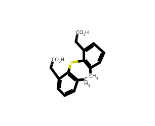 Cc1cccc(CC(=O)O)c1Sc1c(C)cccc1CC(=O)O